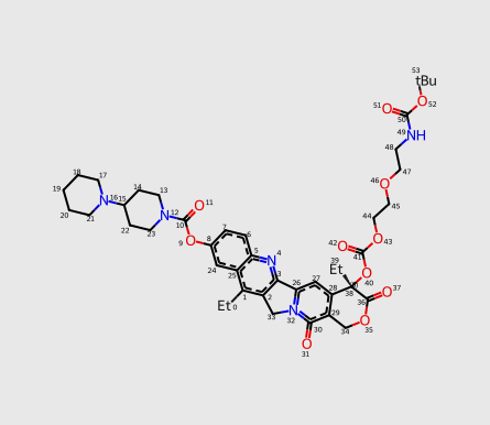 CCc1c2c(nc3ccc(OC(=O)N4CCC(N5CCCCC5)CC4)cc13)-c1cc3c(c(=O)n1C2)COC(=O)[C@@]3(CC)OC(=O)OCCOCCNC(=O)OC(C)(C)C